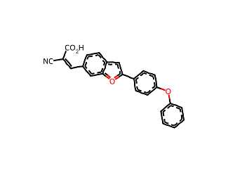 N#C/C(=C/c1ccc2cc(-c3ccc(Oc4ccccc4)cc3)oc2c1)C(=O)O